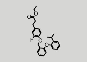 CCOC(=O)CCc1ccc(OCc2ccccc2Oc2ccccc2C(C)C)c(F)c1